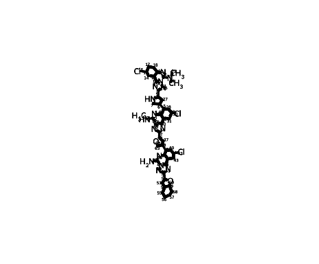 CNc1nc2c(-c3c[nH]c(-c4nc5c6cc(Cl)ccc6nc(N(C)C)n5n4)c3)cc(Cl)cc2c2nc(-c3cc(-c4cc(Cl)cc5c4nc(N)n4nc(-c6cc7ccccc7o6)nc54)co3)nn12